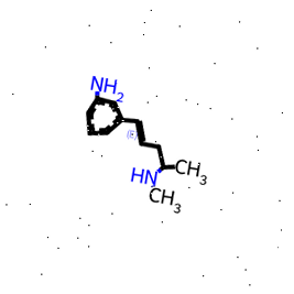 CNC(C)C/C=C/c1cccc(N)c1